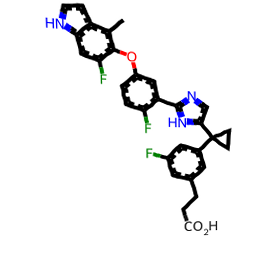 Cc1c(Oc2ccc(F)c(-c3ncc(C4(c5cc(F)cc(CCC(=O)O)c5)CC4)[nH]3)c2)c(F)cc2[nH]ccc12